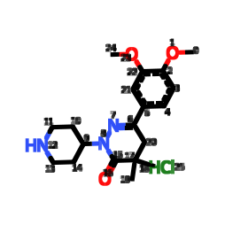 COc1ccc(C2=NN(C3CCNCC3)C(=O)C(C)(C)C2)cc1OC.Cl